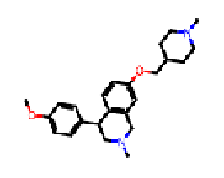 COc1ccc(C2CN(C)Cc3cc(OCC4CCN(C)CC4)ccc32)cc1